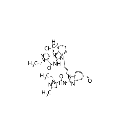 CCn1nc(C)cc1C(=O)Nc1nc2cc(C=O)ccc2n1C/C=C/Cn1c(NC(=O)c2cc(C)nn2CC)nc2c(C)cccc21